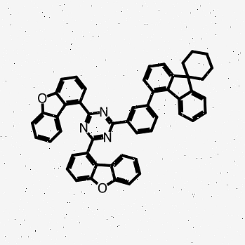 c1cc(-c2nc(-c3cccc4oc5ccccc5c34)nc(-c3cccc4oc5ccccc5c34)n2)cc(-c2cccc3c2-c2ccccc2C32CCCCC2)c1